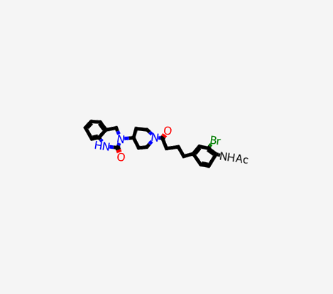 CC(=O)Nc1ccc(CCCC(=O)N2CCC(N3Cc4ccccc4NC3=O)CC2)cc1Br